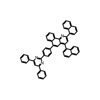 c1ccc(-c2cc(-c3ccccc3)nc(-c3ccc(-c4cc5c(-c6cccc7ccccc67)cc(-c6cccc7ccccc67)nc5c5ccccc45)cc3)n2)cc1